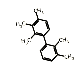 Cc1[c]cc(-c2cccc(C)c2C)c(C)c1C